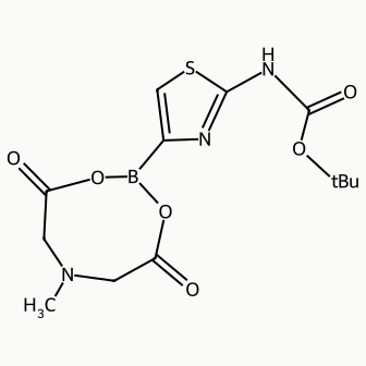 CN1CC(=O)OB(c2csc(NC(=O)OC(C)(C)C)n2)OC(=O)C1